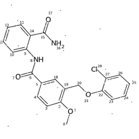 COc1ccc(C(=O)Nc2ccccc2C(N)=O)cc1COc1ccccc1Cl